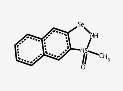 C[SH]1(=O)N[Se]c2cc3ccccc3cc21